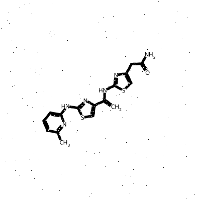 C=C(Nc1nc(CC(N)=O)cs1)c1csc(Nc2cccc(C)n2)n1